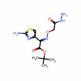 CC(C)(C)OC(=O)/C(=N/OCC(=O)NN)c1csc(N)n1